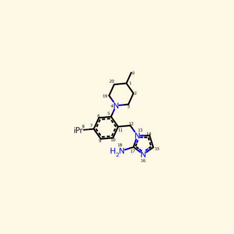 CC1CCN(c2cc(C(C)C)ccc2Cn2ccnc2N)CC1